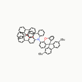 CC(C)(C)c1ccc2c(c1)C1(c3ccccc3Oc3c(N(c4ccc5c(c4)C4(c6ccccc6-c6ccccc64)c4ccccc4-5)c4ccccc4-c4ccc(-c5ccccc5)cc4)cccc31)c1cc(C(C)(C)C)ccc1-2